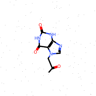 CC(=O)Cn1cnc2[nH]c(=O)[nH]c(=O)c21